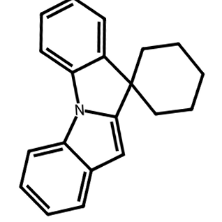 c1ccc2c(c1)-n1c(cc3ccccc31)C21CCCCC1